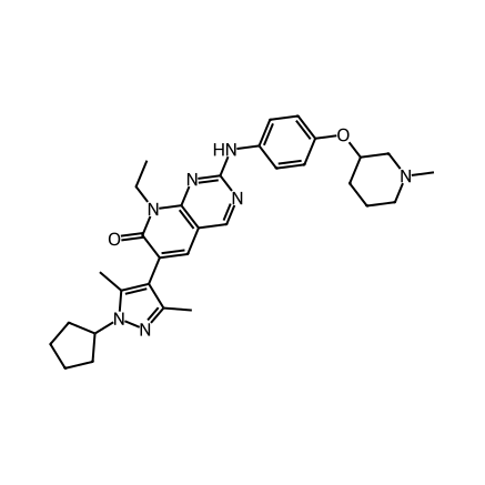 CCn1c(=O)c(-c2c(C)nn(C3CCCC3)c2C)cc2cnc(Nc3ccc(OC4CCCN(C)C4)cc3)nc21